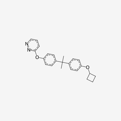 CC(C)(c1ccc(Oc2cccnn2)cc1)c1ccc(OC2CCC2)cc1